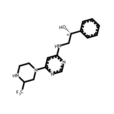 O[C@@H](CNc1cc(N2CCNC(C(F)(F)F)C2)ncn1)c1ccccc1